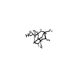 CC12CC3(F)CC(CC(F)(C3)C1)N2O